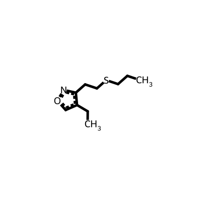 CCCSCCc1nocc1CC